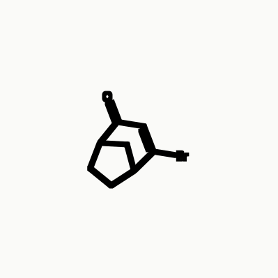 O=C1C=C(Br)C2CCC1C2